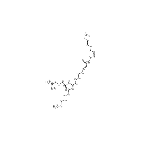 CCCCCC/C=C\COC(=O)C=CCCCCCC(CCCCCCCC)OC(=O)CCCN(C)C